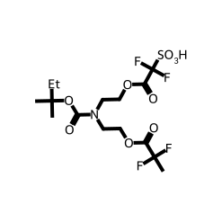 CCC(C)(C)OC(=O)N(CCOC(=O)C(C)(F)F)CCOC(=O)C(F)(F)S(=O)(=O)O